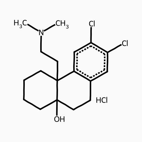 CN(C)CCC12CCCCC1(O)CCc1cc(Cl)c(Cl)cc12.Cl